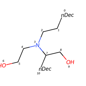 CCCCCCCCCCCCN(CCO)C(CO)CCCCCCCCCC